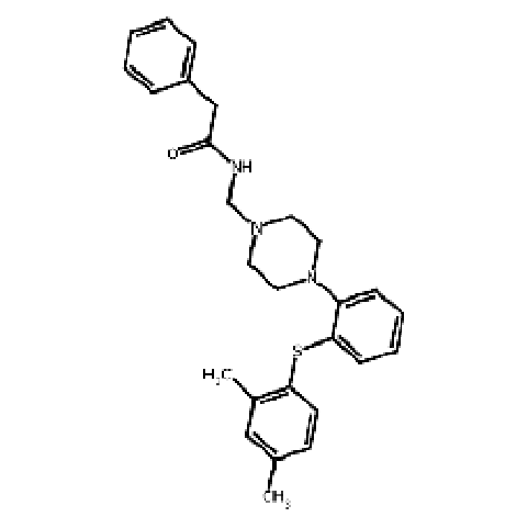 Cc1ccc(Sc2ccccc2N2CCN(CNC(=O)Cc3ccccc3)CC2)c(C)c1